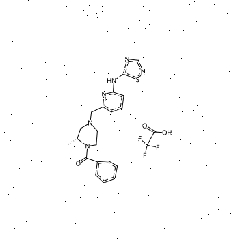 C[C@@H]1CN(Cc2cccc(Nc3ncns3)n2)CCN1C(=O)c1ccccc1.O=C(O)C(F)(F)F